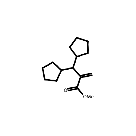 C=C(C(=O)OC)C(C1CCCC1)C1CCCC1